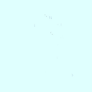 CCOC(=O)c1c(CCCOc2cc(SCc3ccc(OC)cc3)cc3cc(F)ccc23)c2ccc(Cl)c(-c3c(CO)nn4c3CCC4)c2n1C